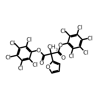 CC(C(=O)Oc1c(Cl)c(Cl)c(Cl)c(Cl)c1Cl)(C(=O)Oc1c(Cl)c(Cl)c(Cl)c(Cl)c1Cl)c1ccco1